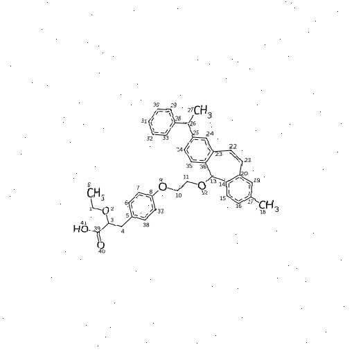 CCOC(Cc1ccc(OCCOC2c3ccc(C)cc3C=Cc3cc(C(C)c4ccccc4)ccc32)cc1)C(=O)O